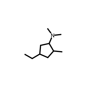 CCC1CC(C)C(N(C)C)C1